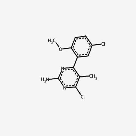 COc1ccc(Cl)cc1-c1nc(N)nc(Cl)c1C